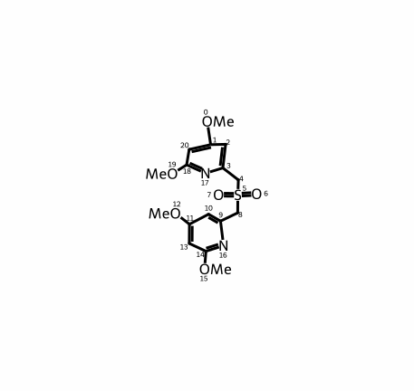 COc1cc(CS(=O)(=O)Cc2cc(OC)cc(OC)n2)nc(OC)c1